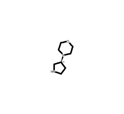 C1C[C@H](N2CCOCC2)CN1